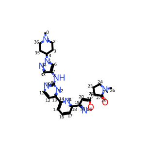 CN1CCC(n2cc(Nc3nccc(-c4cccc(-c5cc([C@@H]6CCN(C)C6=O)on5)n4)n3)cn2)CC1